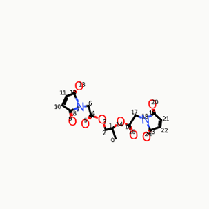 CC(COC(=O)CN1C(=O)C=CC1=O)OC(=O)CN1C(=O)C=CC1=O